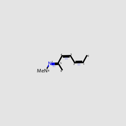 C\C=C/C=C\C(C)=N\NC